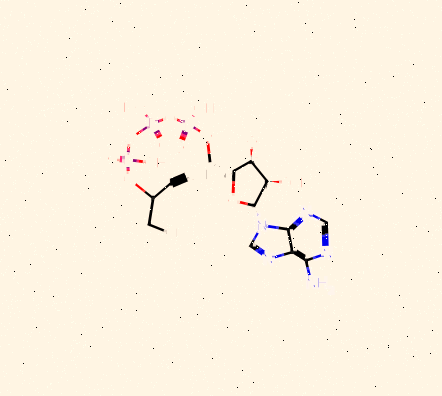 C#CC(CC)OP(=O)(O)OP(=O)(O)OP(=O)(O)OC[C@H]1O[C@@H](n2cnc3c(N)ncnc32)[C@H](O)[C@@H]1O